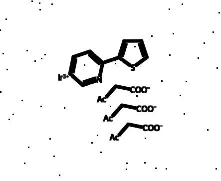 CC(=O)CC(=O)[O-].CC(=O)CC(=O)[O-].CC(=O)CC(=O)[O-].[Ir+3].c1ccc(-c2cccs2)nc1